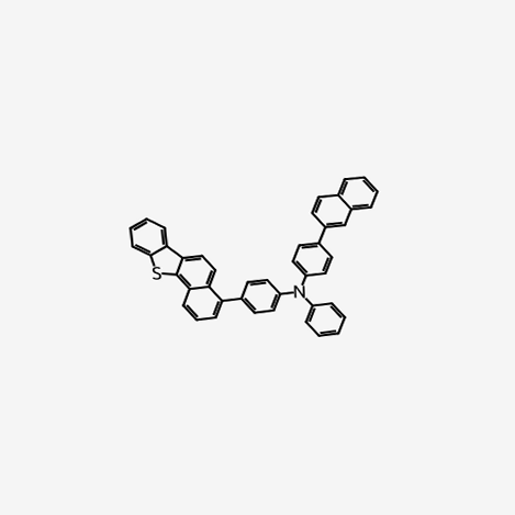 c1ccc(N(c2ccc(-c3ccc4ccccc4c3)cc2)c2ccc(-c3cccc4c3ccc3c5ccccc5sc43)cc2)cc1